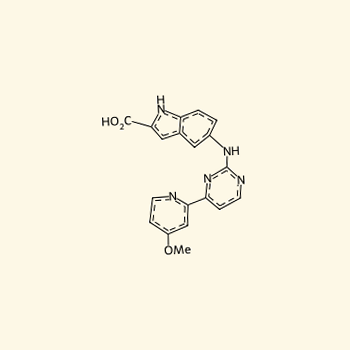 COc1ccnc(-c2ccnc(Nc3ccc4[nH]c(C(=O)O)cc4c3)n2)c1